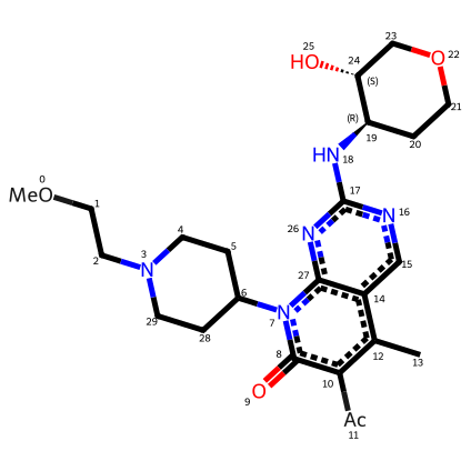 COCCN1CCC(n2c(=O)c(C(C)=O)c(C)c3cnc(N[C@@H]4CCOC[C@H]4O)nc32)CC1